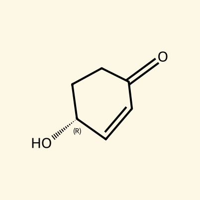 O=C1C=C[C@H](O)CC1